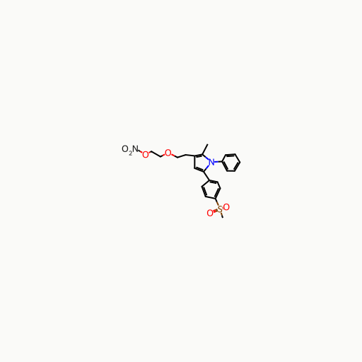 Cc1c(CCOCCO[N+](=O)[O-])cc(-c2ccc(S(C)(=O)=O)cc2)n1-c1ccccc1